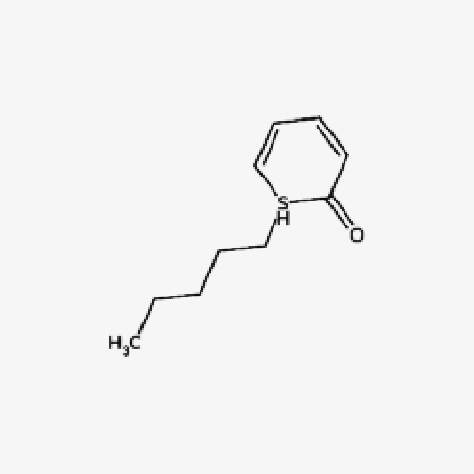 CCCCC[SH]1C=CC=CC1=O